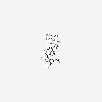 Cc1cc(C)c2cc(Cl)n(C(=O)c3cncc(Nc4snc(O)c4C(=N)NC(O)C(C)O)c3C)c2c1